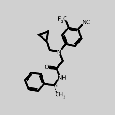 [C-]#[N+]c1ccc(N(CC(=O)N[C@H](C)c2ccccc2)CC2CC2)cc1C(F)(F)F